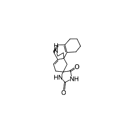 O=C1NC(=O)C2(CC=C3C4=CC5=C(CCCC5)C3(CCN4)C2)N1